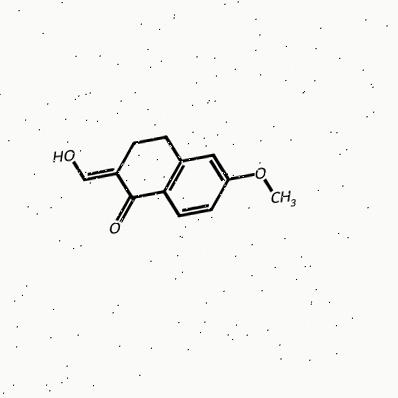 COc1ccc2c(c1)CCC(=CO)C2=O